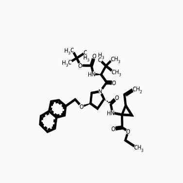 C=CC1CC1(NC(=O)[C@@H]1C[C@@H](OCc2ccc3ccccc3c2)CN1C(=O)[C@@H](NC(=O)OC(C)(C)C)C(C)(C)C)C(=O)OCC